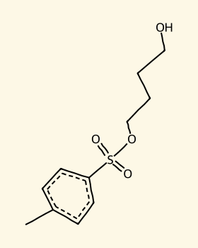 Cc1ccc(S(=O)(=O)OCCCCO)cc1